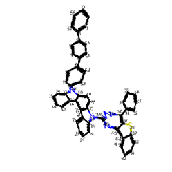 c1ccc(-c2ccc(-c3ccc(-n4c5ccccc5c5c6c7ccccc7n(-c7nc(-c8ccccc8)c8sc9ccccc9c8n7)c6ccc54)cc3)cc2)cc1